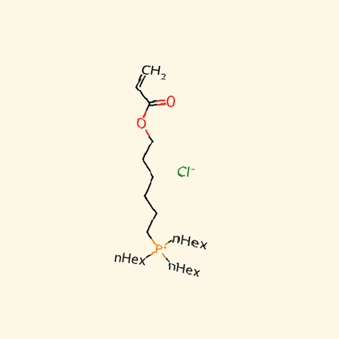 C=CC(=O)OCCCCCC[P+](CCCCCC)(CCCCCC)CCCCCC.[Cl-]